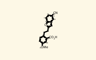 COc1ccc(CCc2cc3cc(C#N)ccc3o2)c(C(=O)O)c1